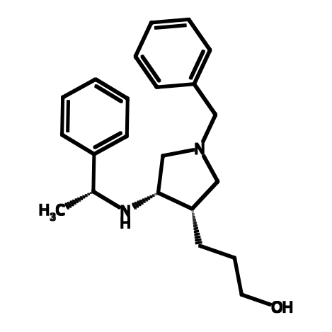 C[C@@H](N[C@@H]1CN(Cc2ccccc2)C[C@@H]1CCCO)c1ccccc1